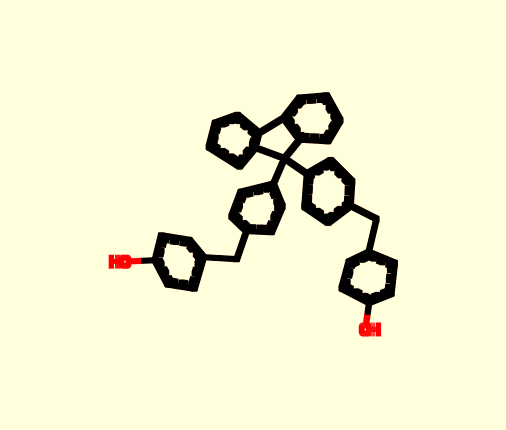 Oc1ccc(Cc2ccc(C3(c4ccc(Cc5ccc(O)cc5)cc4)c4ccccc4-c4ccccc43)cc2)cc1